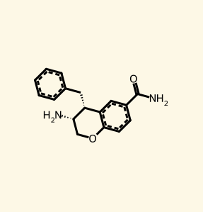 NC(=O)c1ccc2c(c1)[C@@H](Cc1ccccc1)[C@@H](N)CO2